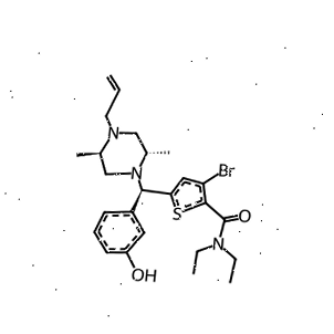 C=CCN1C[C@H](C)N([C@H](c2cccc(O)c2)c2cc(Br)c(C(=O)N(CC)CC)s2)C[C@H]1C